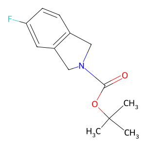 CC(C)(C)OC(=O)N1Cc2ccc(F)cc2C1